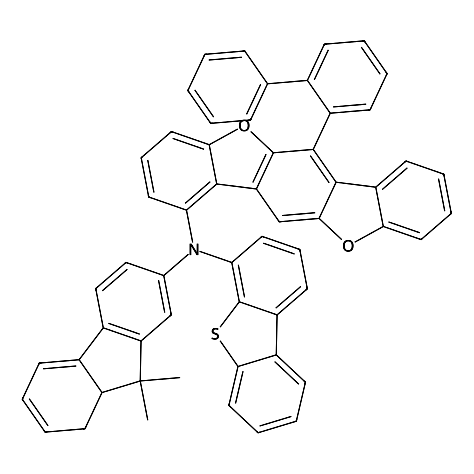 CC1(C)c2cc(N(c3cccc4c3sc3ccccc34)c3cccc4oc5c(-c6ccccc6-c6ccccc6)c6c(cc5c34)oc3ccccc36)ccc2C2=CC=CCC21